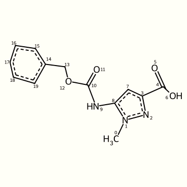 Cn1nc(C(=O)O)cc1NC(=O)OCc1ccccc1